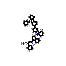 N#Cc1cc(-c2ccc(-n3c4ccccc4c4cc(-c5ccc6c7ccccc7n(-c7ccccc7)c6c5)ccc43)c3ccccc23)nc2ccccc12